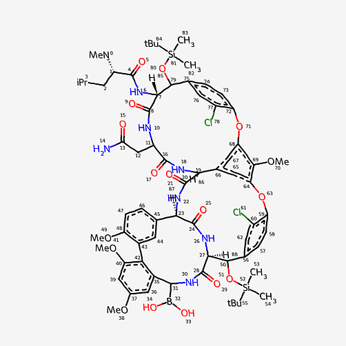 CN[C@@H](CC(C)C)C(=O)N[C@H]1C(=O)NC(CC(N)=O)C(=O)N[C@H]2C(=O)N[C@H]3C(=O)N[C@H](C(=O)NC(B(O)O)c4cc(OC)cc(OC)c4-c4cc3ccc4OC)C(O[Si](C)(C)C(C)(C)C)c3ccc(c(Cl)c3)Oc3cc2cc(c3OC)Oc2ccc(cc2Cl)C1O[Si](C)(C)C(C)(C)C